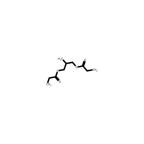 CCC(=O)OCC(C)COC(=O)CC